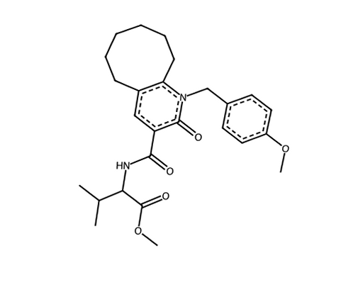 COC(=O)C(NC(=O)c1cc2c(n(Cc3ccc(OC)cc3)c1=O)CCCCCC2)C(C)C